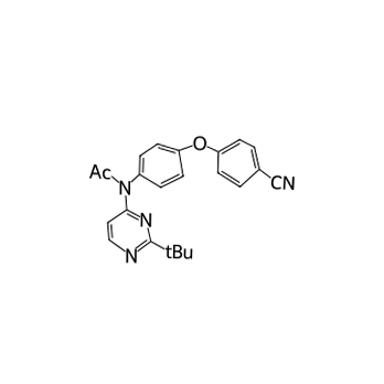 CC(=O)N(c1ccc(Oc2ccc(C#N)cc2)cc1)c1ccnc(C(C)(C)C)n1